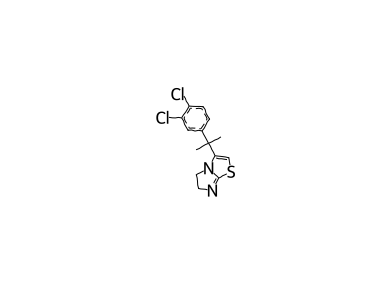 CC(C)(C1=CSC2=NCCN12)c1ccc(Cl)c(Cl)c1